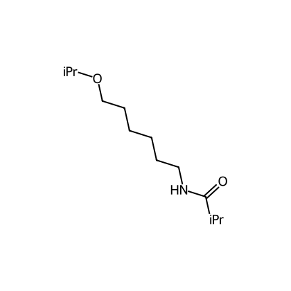 CC(C)OCCCCCCNC(=O)C(C)C